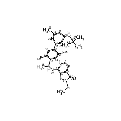 CCN1Cc2c(ccnc2NC(C)c2cc(F)c(-c3cc(OC(C)(C)C)cc(C)n3)cc2F)C1=O